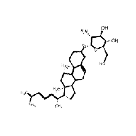 CC(C)CCC[C@@H](C)[C@H]1CCC2C3CC=C4CC(O[C@H]5O[C@H](CO)[C@@H](O)[C@H](O)[C@H]5N)CC[C@]4(C)C3CC[C@@]21C